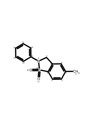 Cc1ccc2c(c1)CN(c1ccccc1)S2(=O)=O